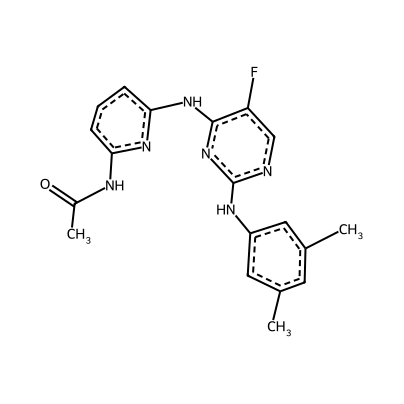 CC(=O)Nc1cccc(Nc2nc(Nc3cc(C)cc(C)c3)ncc2F)n1